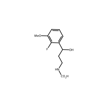 COc1cccc(C(O)CCNC(=O)O)c1F